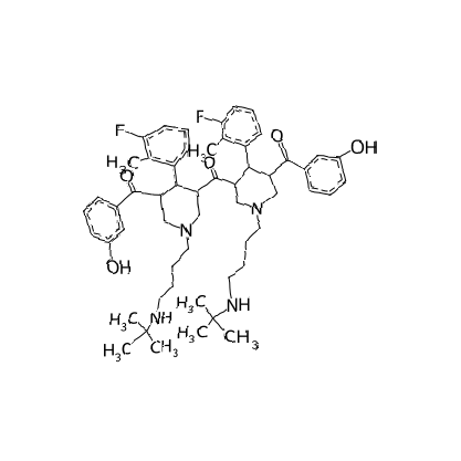 Cc1c(F)cccc1C1C(C(=O)c2cccc(O)c2)CN(CCCCNC(C)(C)C)CC1C(=O)C1CN(CCCCNC(C)(C)C)CC(C(=O)c2cccc(O)c2)C1c1cccc(F)c1C